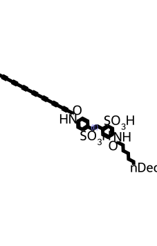 CC#CC#CC#CC#CC#CC#CC#CC(=O)Nc1ccc(/C=C/c2ccc(NC(=O)CCCCCCCCCCCCCCC)cc2S(=O)(=O)O)c(S(=O)(=O)O)c1